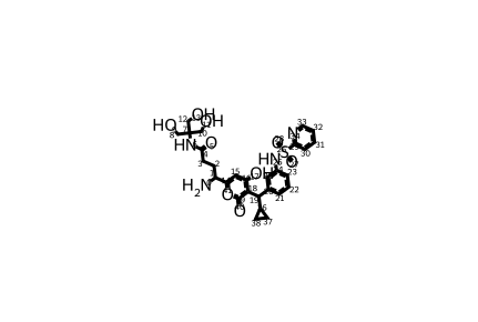 NC(CCC(=O)NC(CO)(CO)CO)c1cc(O)c(C(c2cccc(NS(=O)(=O)c3ccccn3)c2)C2CC2)c(=O)o1